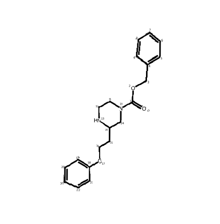 O=C(OCc1ccccc1)N1CCNC(CCOc2ccccc2)C1